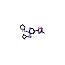 Cc1noc(-c2cnc(NC3CCCC3)c(NC3CCC3)c2)n1